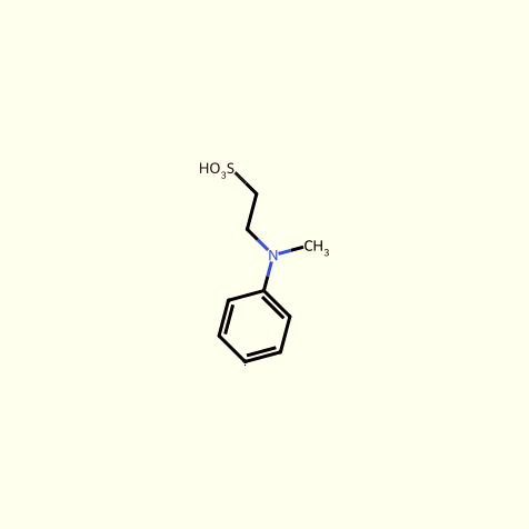 CN(CCS(=O)(=O)O)c1cc[c]cc1